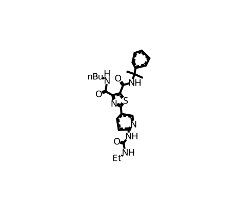 CCCCNC(=O)c1nc(-c2ccc(NC(=O)NCC)nc2)sc1C(=O)NC(C)(C)c1ccccc1